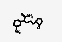 NC(=O)C(CCCN1CCCC1=O)c1cccc(N)c1